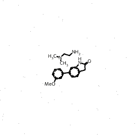 CN(C)CCN.COc1cccc(-c2ccc3c(c2)NC(=O)C3)c1